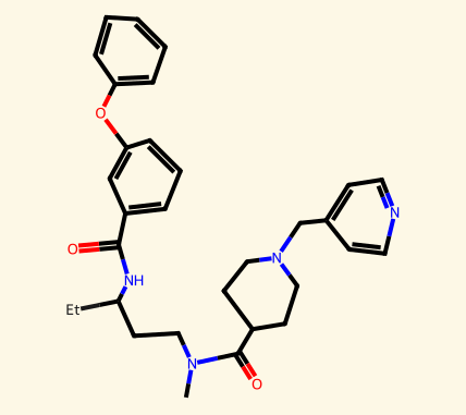 CCC(CCN(C)C(=O)C1CCN(Cc2ccncc2)CC1)NC(=O)c1cccc(Oc2ccccc2)c1